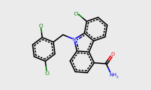 NC(=O)c1cccc2c1c1[c]ccc(Cl)c1n2Cc1cc(Cl)ccc1Cl